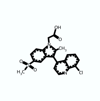 Cc1c(-c2ccnc3c(Cl)cccc23)c2cc(S(C)(=O)=O)ccc2n1CC(=O)O